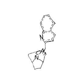 CN1C2CCC1CN(c1ccc3ccccc3n1)CC2